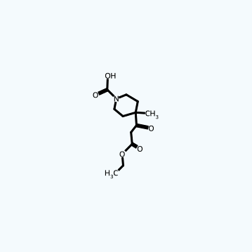 CCOC(=O)CC(=O)C1(C)CCN(C(=O)O)CC1